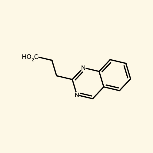 O=C(O)CCc1ncc2ccccc2n1